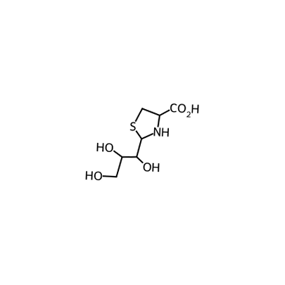 O=C(O)C1CSC(C(O)C(O)CO)N1